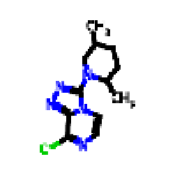 CC1CCC(C)N(c2nnc3c(Cl)nccn23)C1